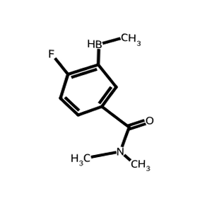 CBc1cc(C(=O)N(C)C)ccc1F